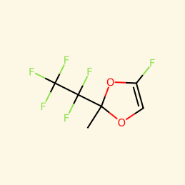 CC1(C(F)(F)C(F)(F)F)OC=C(F)O1